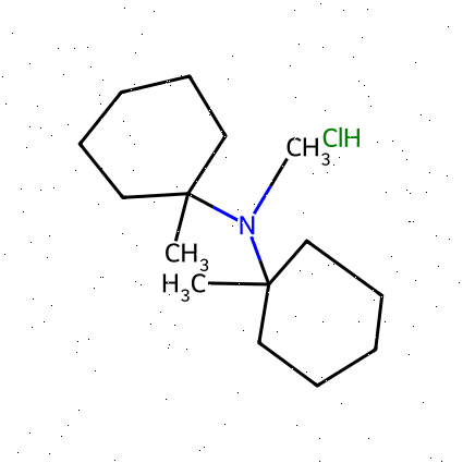 CN(C1(C)CCCCC1)C1(C)CCCCC1.Cl